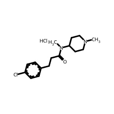 CN1CCC(N(C)C(=O)CCc2ccc(Cl)cc2)CC1.Cl